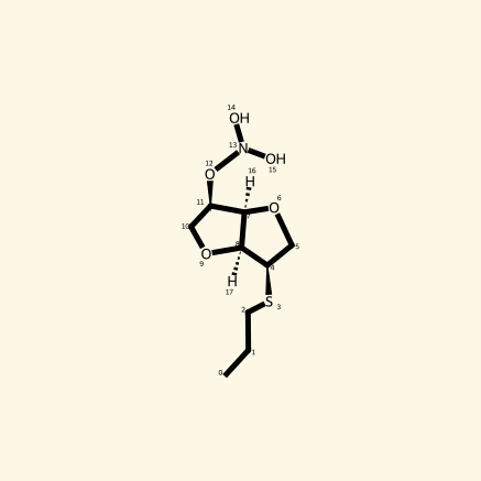 CCCS[C@@H]1CO[C@H]2[C@@H]1OC[C@H]2ON(O)O